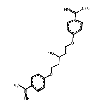 N=C(N)c1ccc(OCCC(O)CCOc2ccc(C(=N)N)cc2)cc1